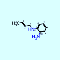 C/C=C/CNc1ccccc1N